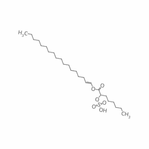 CCCCCCCCCCCCCCCCC=COC(=O)C(CCCCCC)OS(=O)(=O)O